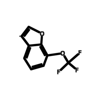 FC(F)(F)Oc1cccc2[c]coc12